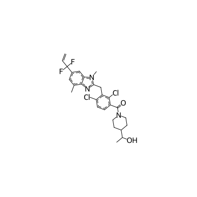 C=CC(F)(F)c1cc(C)c2nc(Cc3c(Cl)ccc(C(=O)N4CCC(C(C)O)CC4)c3Cl)n(C)c2c1